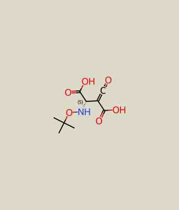 CC(C)(C)ON[C@H](C(=O)O)C(=C=O)C(=O)O